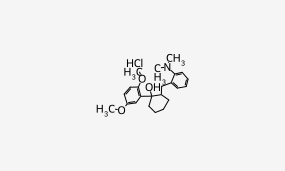 COc1ccc(OC)c(C2(O)CCCCC2Cc2ccccc2N(C)C)c1.Cl